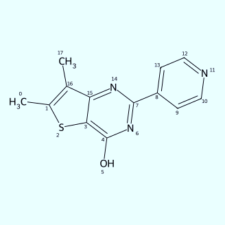 Cc1sc2c(O)nc(-c3ccncc3)nc2c1C